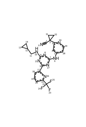 N#CC1(c2cc(Nc3nc(NCC4CC4)nc(-c4cccc(C(F)(F)F)n4)n3)ccn2)CC1